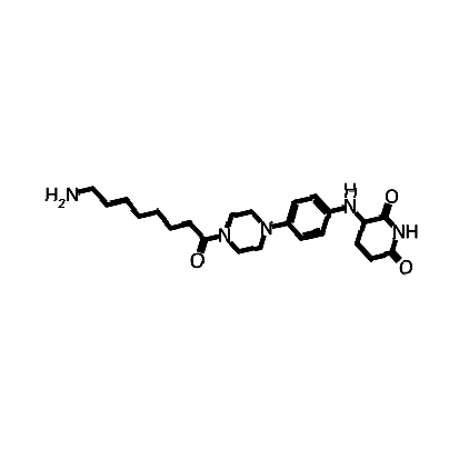 NCCCCCCCC(=O)N1CCN(c2ccc(NC3CCC(=O)NC3=O)cc2)CC1